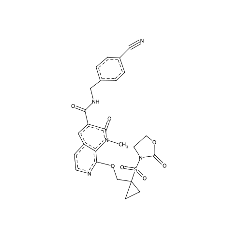 Cn1c(=O)c(C(=O)NCc2ccc(C#N)cc2)cc2ccnc(OCC3(S(=O)(=O)N4CCOC4=O)CC3)c21